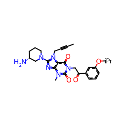 CC#CCn1c(N2CCC[C@@H](N)C2)nc2c1c(=O)n(CC(=O)c1cccc(OC(C)C)c1)c(=O)n2C